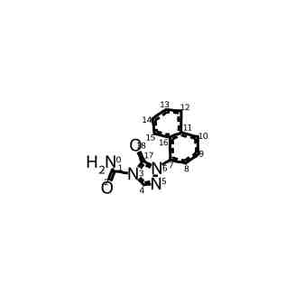 NC(=O)n1cnn(-c2cccc3ccccc23)c1=O